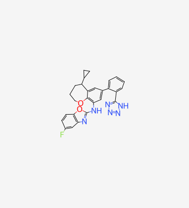 Fc1ccc2oc(Nc3cc(-c4ccccc4-c4nnn[nH]4)cc4c3OCCCC4C3CC3)nc2c1